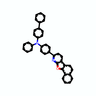 c1ccc(-c2ccc(N(c3ccccc3)c3ccc(-c4ccc5c(n4)oc4c6ccccc6ccc54)cc3)cc2)cc1